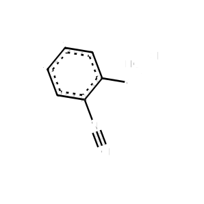 C#[N+]c1ccccc1Cl.Cl.[Cl-]